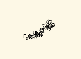 CC(C)=Cc1ccccc1N1C(=O)CS/C1=N\N=C\c1ccc(C2N=CN(c3ccc(OC(F)(F)F)cc3)N2)cc1